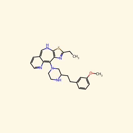 CCc1nc2c(s1)NC=c1cccnc1=C2N1CCNC(CCc2cccc(OC)c2)C1